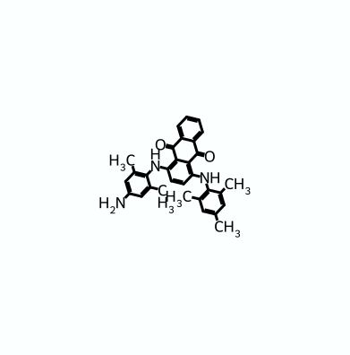 Cc1cc(C)c(Nc2ccc(Nc3c(C)cc(N)cc3C)c3c2C(=O)c2ccccc2C3=O)c(C)c1